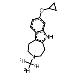 [2H]C([2H])([2H])N1CCc2[nH]c3cc(OC4CC4)ccc3c2CC1